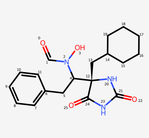 O=CN(O)C(Cc1ccccc1)[C@]1(CC2CCCCC2)NC(=O)NC1=O